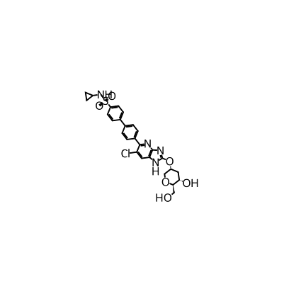 O=S(=O)(NC1CC1)c1ccc(-c2ccc(-c3nc4nc(O[C@H]5CO[C@H](CO)[C@@H](O)C5)[nH]c4cc3Cl)cc2)cc1